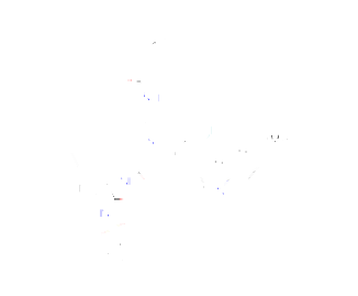 COc1ccc2nc(C)c3c(c2c1)[C@H](F)C[C@]1(C[C@H]2C(=O)N[C@]4(C(=O)NS(=O)(=O)C5(C)CC5)C[C@H]4/C=C\CCCCC[C@H](NC(=O)O[C@@H](C)C(C)C)C(=O)N2C1)O3